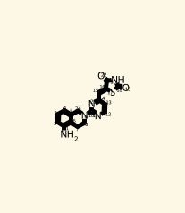 Nc1cccc2c1CCN(c1nccc(/C=C3\SC(=O)NC3=O)n1)C2